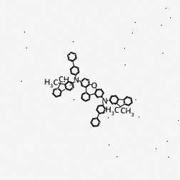 CC1(C)c2ccccc2-c2ccc(N(c3ccc(-c4ccccc4)cc3)c3ccc4c(c3)-c3ccccc3-c3cc(N(c5ccc(-c6ccccc6)cc5)c5ccc6c(c5)C(C)(C)c5ccccc5-6)ccc3O4)cc21